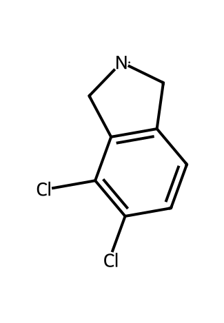 Clc1ccc2c(c1Cl)C[N]C2